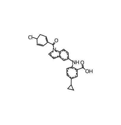 O=C(O)c1cc(C2CC2)ccc1Nc1ccc2c(ccn2C(=O)C2=CCC(Cl)C=C2)c1